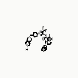 O=C(Nc1cn(C2CCC(CN3CCC4(CCNCC4)CC3)CC2)nc1C(F)F)c1cnn2ccc(N3CC4CCC(C3)C4=O)nc12